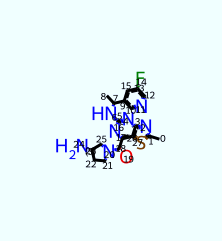 Cc1nc2nc(NC(C)c3cncc(F)c3)nc(C(=O)N3CC[C@H](N)C3)c2s1